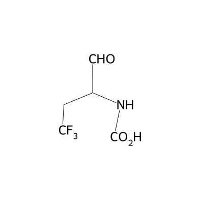 O=CC(CC(F)(F)F)NC(=O)O